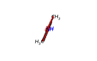 CCCCCCCCCCCCCCCCCCCCC(=O)NCNC(=O)CCCCCCCCCCCCCCCCCCCC